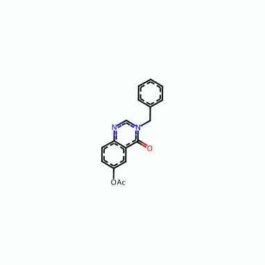 CC(=O)Oc1ccc2ncn(Cc3ccccc3)c(=O)c2c1